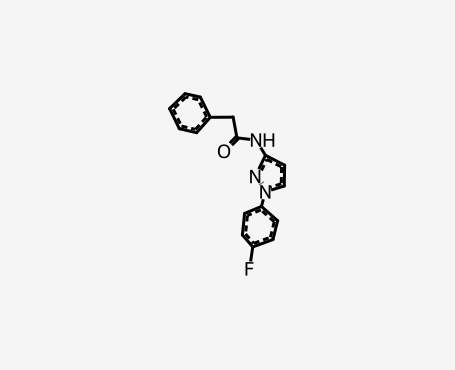 O=C(Cc1ccccc1)Nc1ccn(-c2ccc(F)cc2)n1